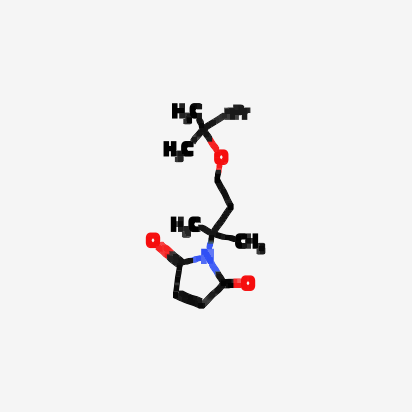 CCCC(C)(C)OCCC(C)(C)N1C(=O)C=CC1=O